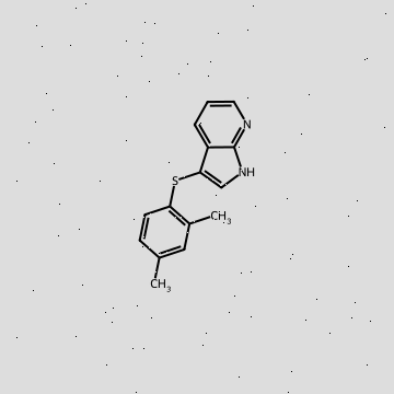 Cc1ccc(Sc2c[nH]c3ncccc23)c(C)c1